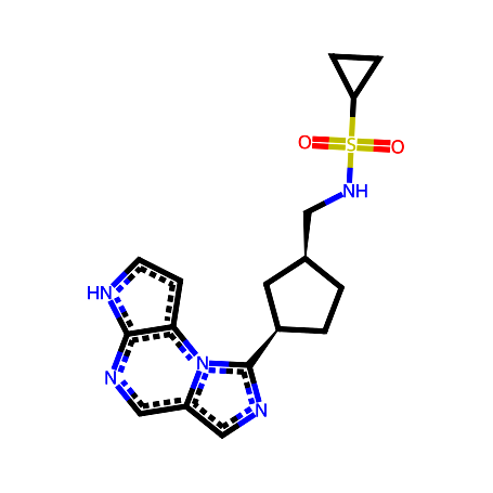 O=S(=O)(NC[C@H]1CC[C@@H](c2ncc3cnc4[nH]ccc4n23)C1)C1CC1